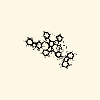 CC1(C)c2ccccc2-c2c1c1c(c3ccccc3n1-c1ccc(-n3c4ccccc4c4ccccc43)cc1)c1c2c2ccccc2n1-c1ccc2sc3ccccc3c2c1